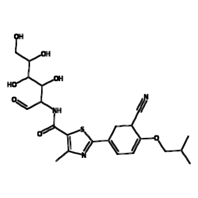 Cc1nc(C2=CC=C(OCC(C)C)C(C#N)C2)sc1C(=O)NC(C=O)C(O)C(O)C(O)CO